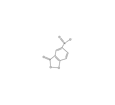 O=c1ooc2ccc([N+](=O)[O-])cc12